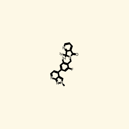 [2H]C1([2H])c2ncccc2C(=O)N1Cc1c(C)cc(-c2ccnc3nn(C)cc23)cc1F